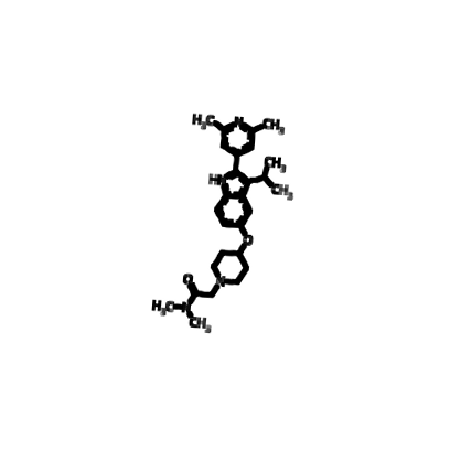 Cc1cc(-c2[nH]c3ccc(OC4CCN(CC(=O)N(C)C)CC4)cc3c2C(C)C)cc(C)n1